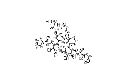 CCCCOc1cccc(-c2cc(Sc3cc(-c4cccc(OCCCC)c4)c(/C=C/C(=O)N4CCOCC4)c(Cl)c3Cl)c(Cl)c(Cl)c2/C=C/C(=O)N2CCOCC2)c1